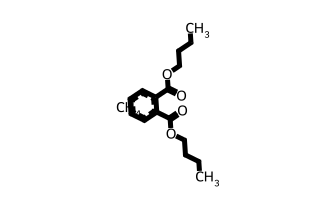 C.CCCCOC(=O)c1ccccc1C(=O)OCCCC